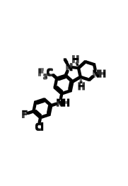 CN1c2c(cc(Nc3ccc(F)c(Cl)c3)cc2C(F)(F)F)[C@@H]2CNCC[C@@H]21